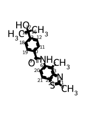 Cc1nc2c(C)c(NC(=O)c3ccc(C(C)(C)O)cc3)ccc2s1